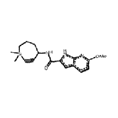 COc1ccc2cc(C(=O)NC3C#C[Si](C)(C)CCC3)[nH]c2n1